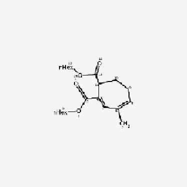 CCCCCCOC(=O)C1=CC(C)=CCCC1C(=O)OCCCCCC